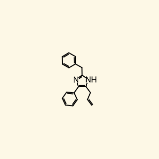 C=CCc1[nH]c(Cc2ccccc2)nc1-c1ccccc1